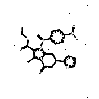 C=S(c1ccc([N+](=O)[O-])cc1)n1c2c(c(C)c1C(=O)OCC)C(=O)CC(c1ccco1)C2